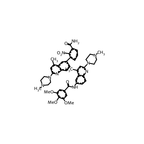 COc1cc(C(=O)Nc2ccc3nc(N4CCN(C)CC4)cc(C)c3c2)cc(OC)c1OC.Cc1cc(N2CCN(C)CC2)nc2ccc(-c3cccc(C(N)=O)c3[N+](=O)[O-])cc12